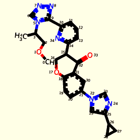 COCC(C)n1cnnc1-c1cccc(C2COc3ccc(-n4cnc(C5CC5)c4)cc3C2=O)n1